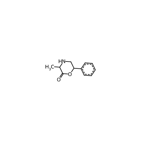 CC1NCC(c2ccccc2)OC1=O